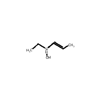 CC=C[SiH](O)CC